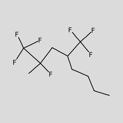 CCCCC(CC(C)(F)C(F)(F)F)C(F)(F)F